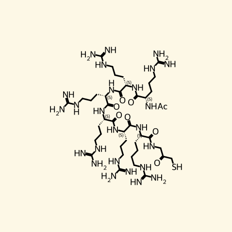 CC(=O)N[C@@H](CCCNC(=N)N)C(=O)N[C@@H](CCCNC(=N)N)C(=O)N[C@@H](CCCNC(=N)N)C(=O)N[C@@H](CCCNC(=N)N)C(=O)N[C@@H](CCCNC(=N)N)C(=O)N[C@@H](CCCCNC(=N)N)C(=O)NCC(=O)CS